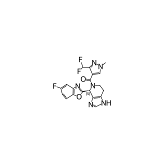 Cn1cc(C(=O)N2CCc3[nH]cnc3[C@H]2c2nc3cc(F)ccc3o2)c(C(F)F)n1